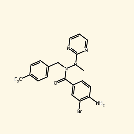 CN(c1ncccn1)N(Cc1ccc(C(F)(F)F)cc1)C(=O)c1ccc(N)c(Br)c1